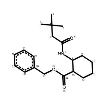 CC(C)(C)CC(=O)NC1CCCCC1C(=O)OCc1ccccc1